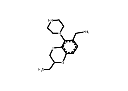 NCc1ccc2c(c1N1CCNCC1)OCC(CN)O2